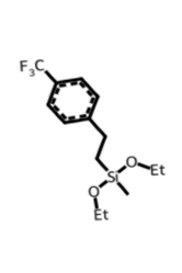 CCO[Si](C)(CCc1ccc(C(F)(F)F)cc1)OCC